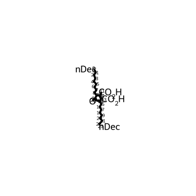 CCCCCCCCCCCCCCCCCCC1C(C(=O)O)=C(C(=O)O)C(CCCCCCCCCCCCCCCCCC)C2OC12